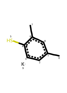 Cc1ccc(S)c(C)c1.[K]